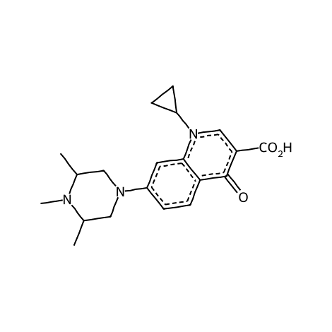 CC1CN(c2ccc3c(=O)c(C(=O)O)cn(C4CC4)c3c2)CC(C)N1C